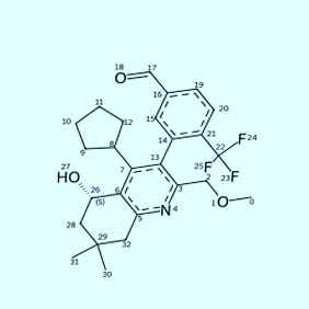 COCc1nc2c(c(C3CCCC3)c1-c1cc(C=O)ccc1C(F)(F)F)[C@@H](O)CC(C)(C)C2